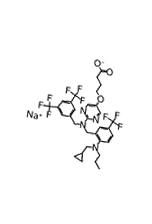 CCCN(CC1CC1)c1ccc(C(F)(F)F)cc1CN(Cc1cc(C(F)(F)F)cc(C(F)(F)F)c1)c1ncc(OCCCC(=O)[O-])cn1.[Na+]